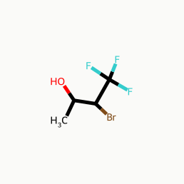 CC(O)C(Br)C(F)(F)F